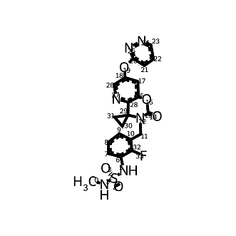 CNS(=O)(=O)Nc1cccc(CN2C(=O)Oc3cc(Oc4cccnn4)cnc3C23CC3)c1F